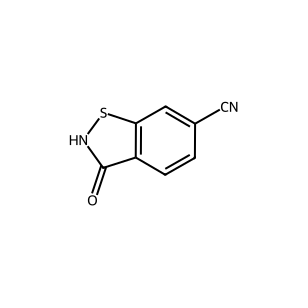 N#Cc1ccc2c(=O)[nH]sc2c1